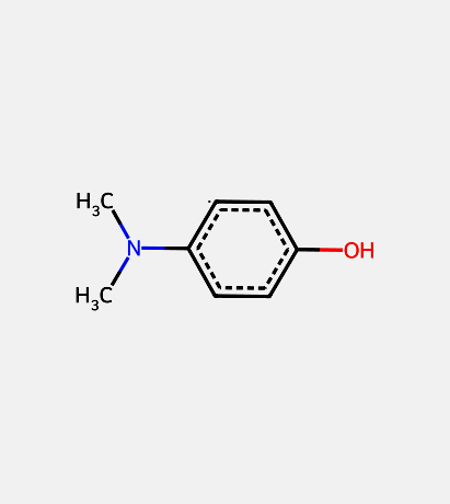 CN(C)c1[c]cc(O)cc1